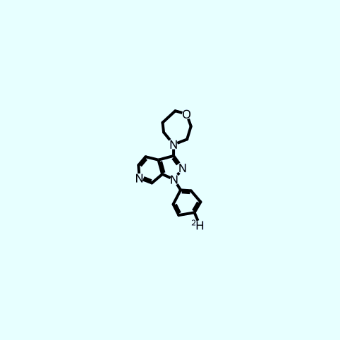 [2H]c1ccc(-n2nc(N3CCCOCC3)c3ccncc32)cc1